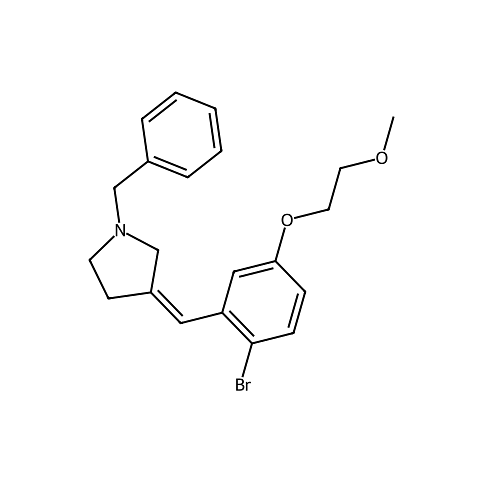 COCCOc1ccc(Br)c(C=C2CCN(Cc3ccccc3)C2)c1